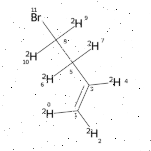 [2H]C([2H])=C([2H])C([2H])([2H])C([2H])([2H])Br